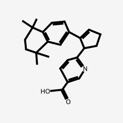 CC1(C)CCC(C)(C)c2cc(C3=CCCC3c3ccc(C(=O)O)cn3)ccc21